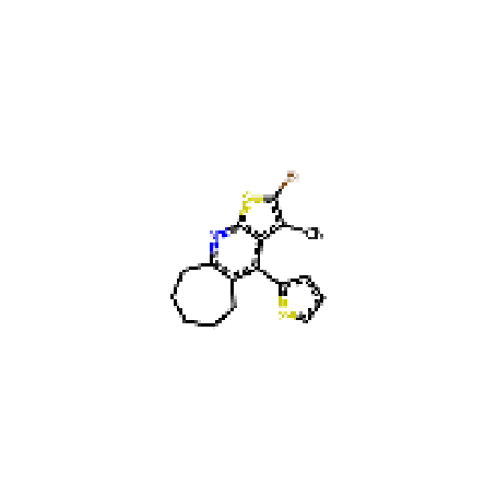 N#Cc1c(Br)sc2nc3c(c(-c4cccs4)c12)CCCCC3